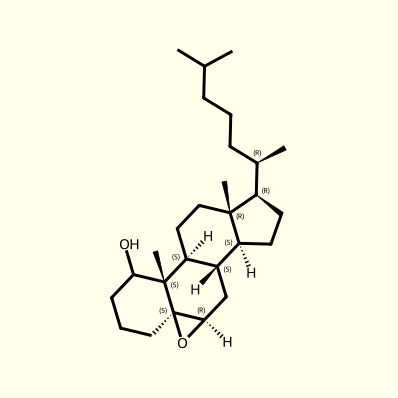 CC(C)CCC[C@@H](C)[C@H]1CC[C@H]2[C@@H]3C[C@H]4O[C@]45CCCC(O)[C@]5(C)[C@H]3CC[C@]12C